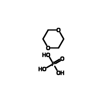 C1COCCO1.O=P(O)(O)O